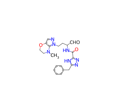 CN1CCOc2cnn(CCC(C=O)NC(=O)c3nnc(Cc4ccccc4)[nH]3)c21